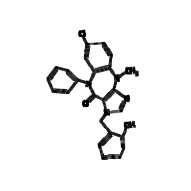 CN1c2ccc(Cl)cc2N(c2ccccc2)C(=O)c2c1ncn2Cc1ccccc1O